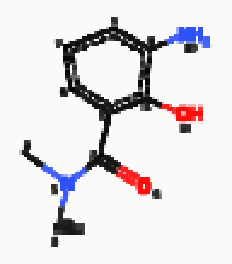 CCCCN(C)C(=O)c1cccc(N)c1O